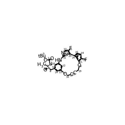 CC(C)(C)OC(=O)N=S(C)(=O)Cc1cc2cc(c1)OCCCCOc1c(F)ccc(c1F)-c1nc(ncc1F)N2